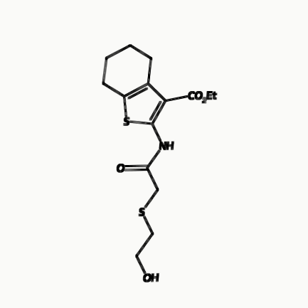 CCOC(=O)c1c(NC(=O)CSCCO)sc2c1CCCC2